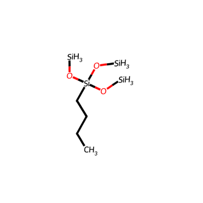 CCCC[Si](O[SiH3])(O[SiH3])O[SiH3]